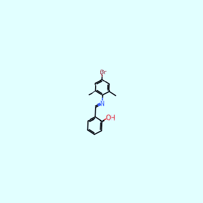 Cc1cc(Br)cc(C)c1N=Cc1ccccc1O